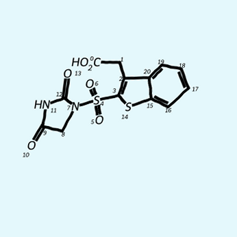 O=C(O)Cc1c(S(=O)(=O)N2CC(=O)NC2=O)sc2ccccc12